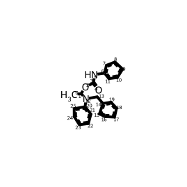 CC(OC(=O)Nc1ccccc1)N(Cc1ccccc1)c1ccccc1